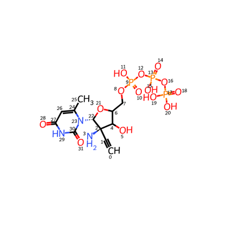 C#C[C@@]1(N)C(O)C(COP(=O)(O)OP(=O)(O)OP(=O)(O)O)O[C@H]1n1c(C)cc(=O)[nH]c1=O